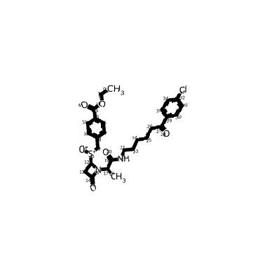 CCOC(=O)c1ccc(C[S+]([O-])C2CC(=O)N2C(C)C(=O)NCCCCCC(=O)c2ccc(Cl)cc2)cc1